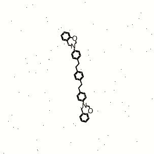 c1ccc2c(c1)CN(c1ccc(CCc3ccc(CCc4ccc(N5COc6ccccc6C5)cc4)cc3)cc1)CO2